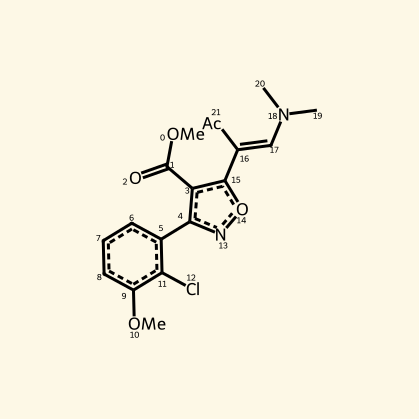 COC(=O)c1c(-c2cccc(OC)c2Cl)noc1/C(=C/N(C)C)C(C)=O